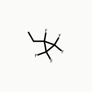 CCC1(F)C(F)(F)C1(F)F